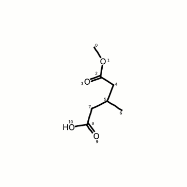 COC(=O)CC(C)CC(=O)O